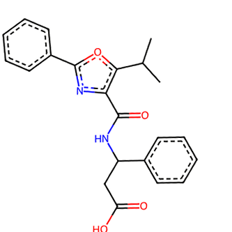 CC(C)c1oc(-c2ccccc2)nc1C(=O)NC(CC(=O)O)c1ccccc1